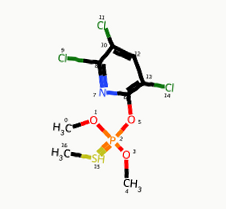 COP(OC)(Oc1nc(Cl)c(Cl)cc1Cl)=[SH]C